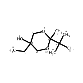 CCC1(O)COC(C)(C(C)(C)C)OC1